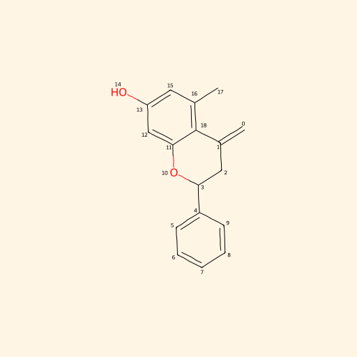 C=C1CC(c2ccccc2)Oc2cc(O)cc(C)c21